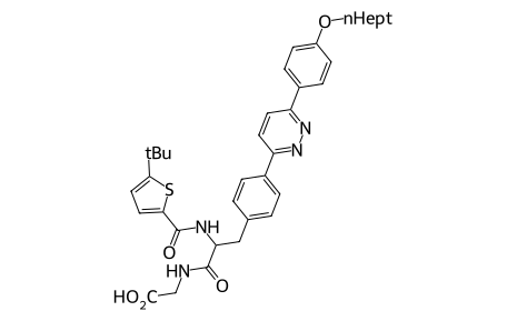 CCCCCCCOc1ccc(-c2ccc(-c3ccc(CC(NC(=O)c4ccc(C(C)(C)C)s4)C(=O)NCC(=O)O)cc3)nn2)cc1